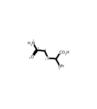 CCCC(SCC(N)=O)C(=O)O